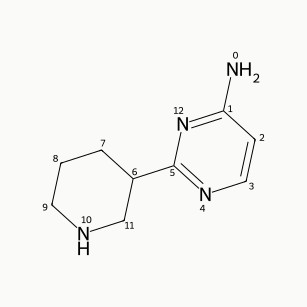 Nc1ccnc(C2CCCNC2)n1